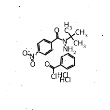 CC(C)(C)N(N)C(=O)c1ccc([N+](=O)[O-])cc1.Cl.Cl.O=C(Cl)c1ccccc1